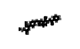 C=C(/C=C(\C)Cl)c1ccc(CN(N)C[C@@H](O)C(=O)OCC(=O)c2ccccc2)cc1